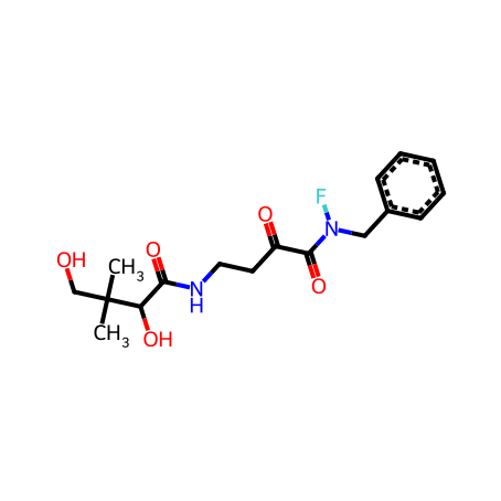 CC(C)(CO)C(O)C(=O)NCCC(=O)C(=O)N(F)Cc1ccccc1